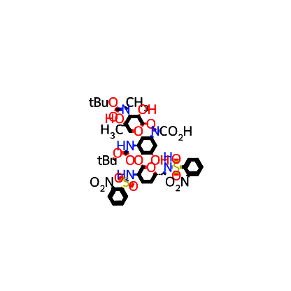 CN(C(=O)OC(C)(C)C)[C@@H]1[C@@H](O)[C@@H](ON(C(=O)O)C2C[C@H](NC(=O)OC(C)(C)C)[C@@H](O[C@H]3O[C@H](CNS(=O)(=O)c4ccccc4[N+](=O)[O-])CC[C@H]3NS(=O)(=O)c3ccccc3[N+](=O)[O-])[C@@H](O)C2)OC[C@]1(C)O